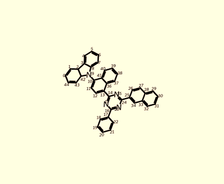 C1=CC2c3ccccc3N(c3ccc(-c4nc(-c5ccccc5)nc(-c5ccc6ccccc6c5)n4)c4ccccc34)C2C=C1